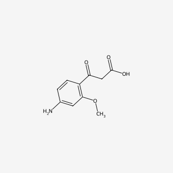 COc1cc(N)ccc1C(=O)CC(=O)O